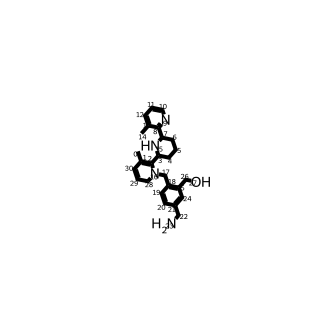 CC1=C(C2CCCC(c3ncccc3C)N2)N(Cc2ccc(CN)cc2CO)CC=C1